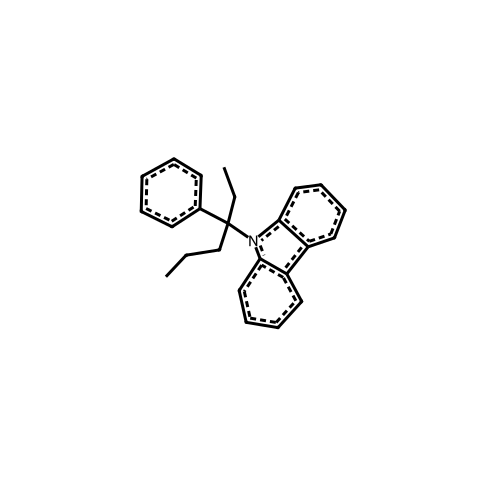 CCCC(CC)(c1ccccc1)n1c2ccccc2c2ccccc21